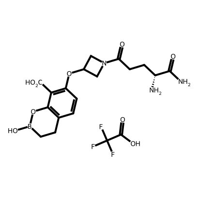 NC(=O)[C@H](N)CCC(=O)N1CC(Oc2ccc3c(c2C(=O)O)OB(O)CC3)C1.O=C(O)C(F)(F)F